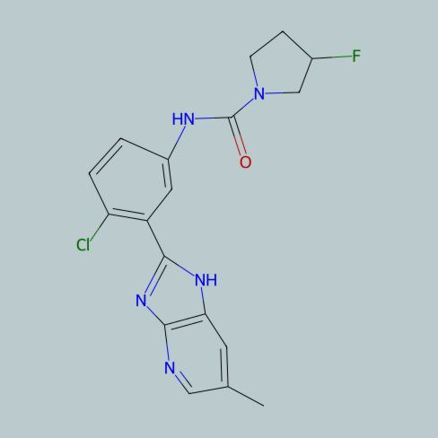 Cc1cnc2nc(-c3cc(NC(=O)N4CCC(F)C4)ccc3Cl)[nH]c2c1